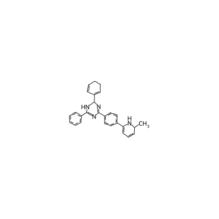 CC1C=CC=C(c2ccc(C3=NC(C4=CCCC=C4)NC(c4ccccc4)=N3)cc2)N1